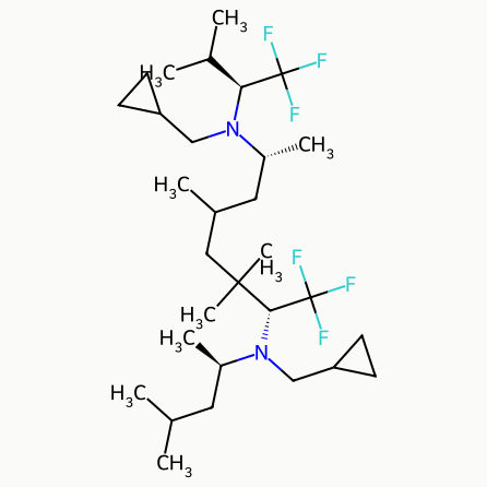 CC(C)C[C@@H](C)N(CC1CC1)[C@@H](C(F)(F)F)C(C)(C)CC(C)C[C@@H](C)N(CC1CC1)[C@@H](C(C)C)C(F)(F)F